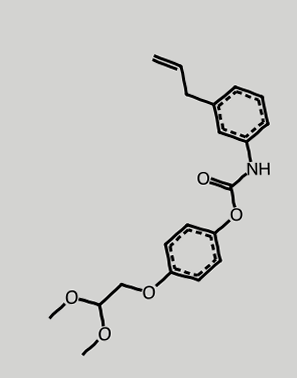 C=CCc1cccc(NC(=O)Oc2ccc(OCC(OC)OC)cc2)c1